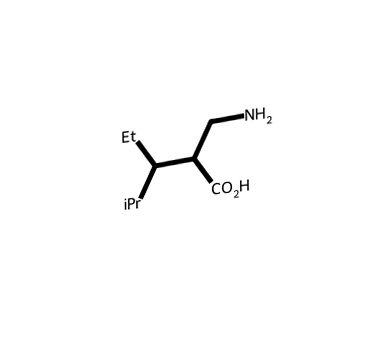 CCC(C(C)C)C(CN)C(=O)O